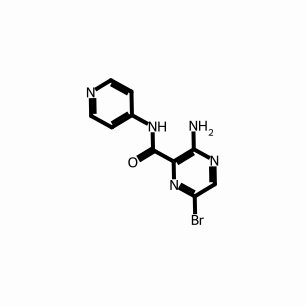 Nc1ncc(Br)nc1C(=O)Nc1ccncc1